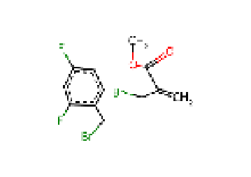 C=C(CBr)C(=O)OC.Fc1ccc(CBr)c(F)c1